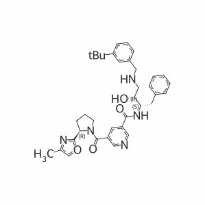 Cc1coc([C@H]2CCCN2C(=O)c2cncc(C(=O)N[C@@H](Cc3ccccc3)[C@H](O)CNCc3cccc(C(C)(C)C)c3)c2)n1